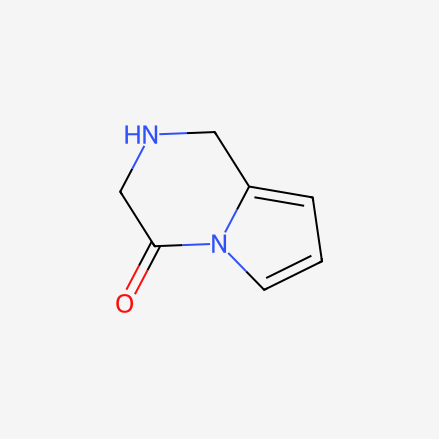 O=C1CNCc2cccn21